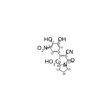 N#C/C(=C\c1cc(O)c(O)c([N+](=O)[O-])c1)C(=O)N1CCC[C@H]1C(=O)O